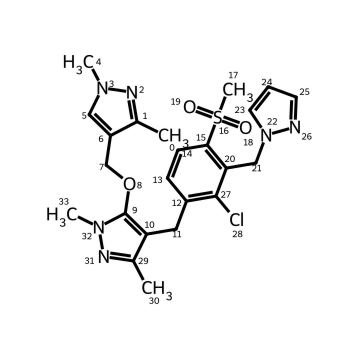 Cc1nn(C)cc1COc1c(Cc2ccc(S(C)(=O)=O)c(Cn3cccn3)c2Cl)c(C)nn1C